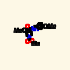 COC(=O)C1(CNCc2ccc(OC)cc2)CCN(C(=O)OC(C)(C)C)CC1